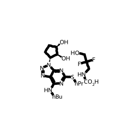 CCCCNc1nc(SCCC)nc2c1nnn2[C@@H]1CC[C@@H](O)[C@H]1O.O=C(O)NCC(F)(F)CO